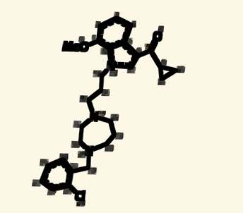 COc1cccc2c(C(=O)C3CC3)cn(CCCN3CCCN(Cc4ccccc4Cl)CC3)c12